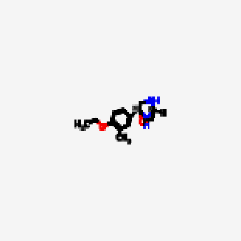 CCOc1ccc([C@@]23CN[C@@H](CO2)N3)cc1C